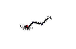 CCCCCCC/C=C\CCCCCC/C=C\CCCCCC(O)(C[N+](C)(C)C)P(=O)(O)O